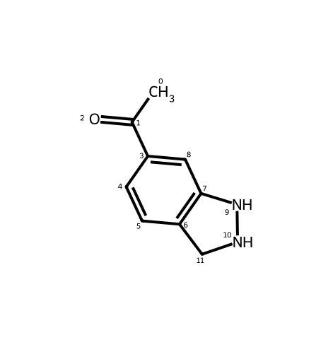 CC(=O)c1ccc2c(c1)NNC2